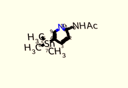 CC(=O)Nc1cc[c]([Sn]([CH3])([CH3])[CH3])cn1